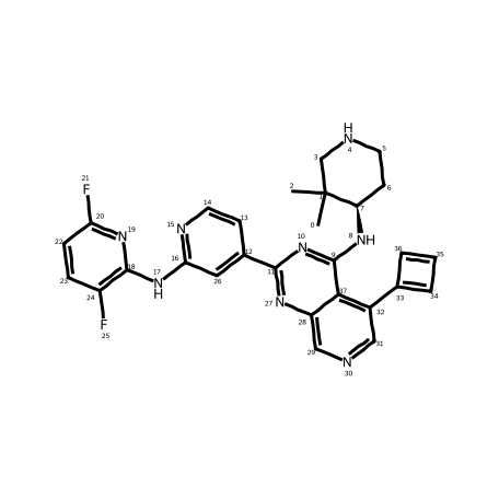 CC1(C)CNCC[C@H]1Nc1nc(-c2ccnc(Nc3nc(F)ccc3F)c2)nc2cncc(C3=CC=C3)c12